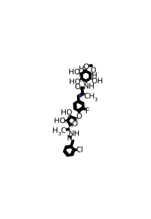 C/C(=C\c1ccc(O[C@@H]2O[C@H](C(C)NN=Cc3ccccc3Cl)[C@@H](O)[C@@H]2O)c(F)c1)C(=O)N[C@@H]1[C@H](O)[C@@H](O)[C@H]2OCO[C@H]2[C@@H]1O